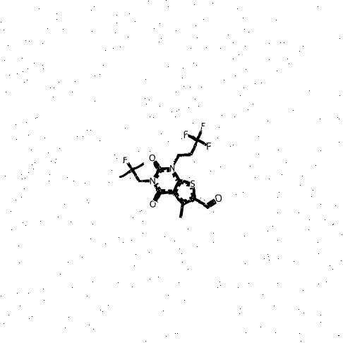 Cc1c(C=O)sc2c1c(=O)n(CC(C)(C)F)c(=O)n2CCC(F)(F)F